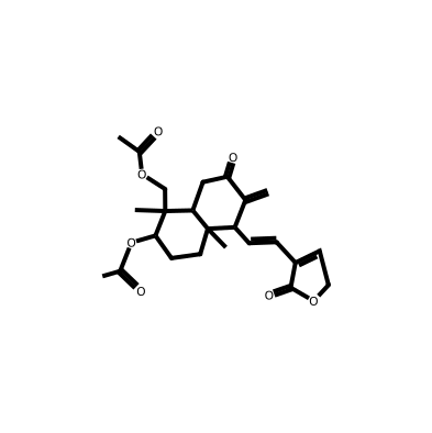 C=C1C(=O)CC2C(C)(COC(C)=O)C(OC(C)=O)CCC2(C)C1/C=C/C1=CCOC1=O